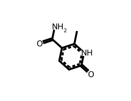 Cc1[nH]c(=O)ccc1C(N)=O